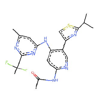 CC(=O)Nc1cc(Nc2cc(C)nc(C(C)(F)F)n2)c(-c2csc(C(C)C)n2)cn1